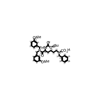 COc1cccc(CN(Cc2cccc(OC)c2)C(=O)C(CCCCN(Cc2ccccc2)C(=O)O)NC(=O)OC(C)(C)C)c1